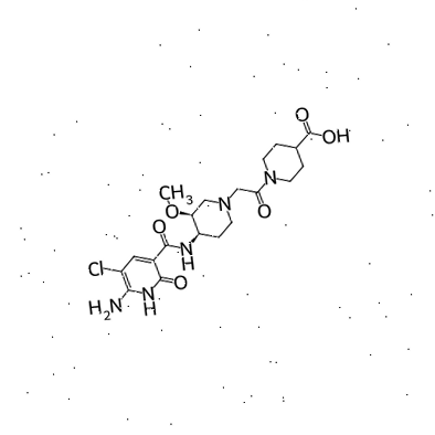 CO[C@H]1CN(CC(=O)N2CCC(C(=O)O)CC2)CC[C@H]1NC(=O)c1cc(Cl)c(N)[nH]c1=O